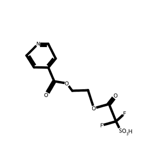 O=C(OCCOC(=O)C(F)(F)S(=O)(=O)O)c1ccncc1